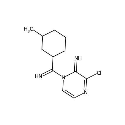 CC1CCCC(C(=N)n2ccnc(Cl)c2=N)C1